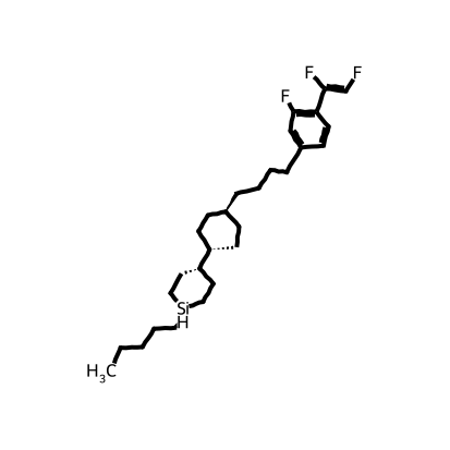 CCCCC[Si@H]1CC[C@H]([C@H]2CC[C@H](CCCCc3ccc(C(F)=CF)c(F)c3)CC2)CC1